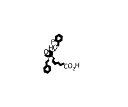 O=C(O)CCC/C=C\C[C@@H]1[C@@H](COCc2ccccc2F)[C@H]2C[C@]1(CCc1ccccc1)CO2